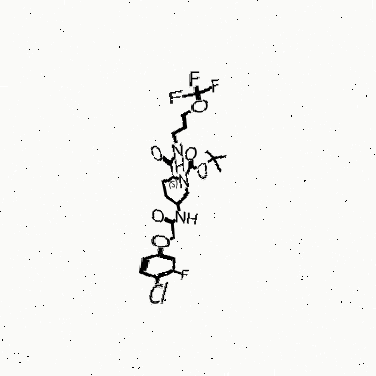 CC(C)(C)OC(=O)N1CC(NC(=O)COc2ccc(Cl)c(F)c2)CC[C@H]1C(=O)NCCCOC(F)(F)F